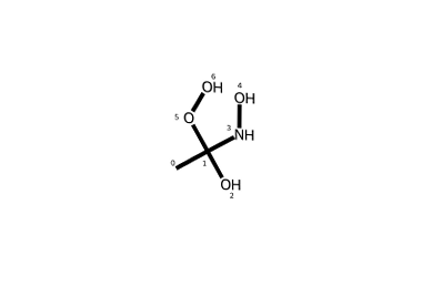 CC(O)(NO)OO